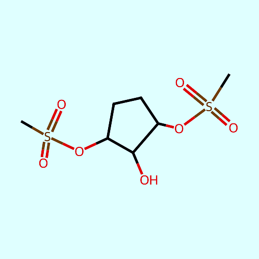 CS(=O)(=O)OC1CCC(OS(C)(=O)=O)C1O